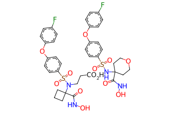 O=C(NO)C1(NS(=O)(=O)c2ccc(Oc3ccc(F)cc3)cc2)CCOCC1.O=C(O)CCN(C1(C(=O)NO)CCC1)S(=O)(=O)c1ccc(Oc2ccc(F)cc2)cc1